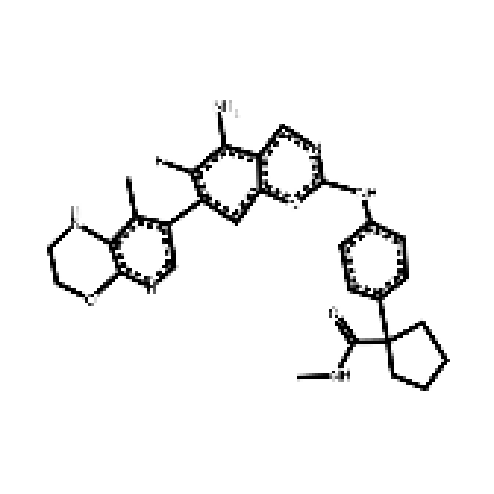 CNC(=O)C1(c2ccc(Nc3ncc4c(N)c(F)c(-c5cnc6c(c5C)NCCO6)cc4n3)cc2)CCCC1